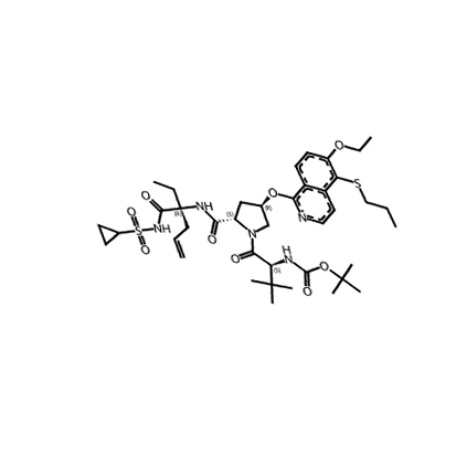 C=CC[C@@](CC)(NC(=O)[C@@H]1C[C@@H](Oc2nccc3c(SCCC)c(OCC)ccc23)CN1C(=O)[C@@H](NC(=O)OC(C)(C)C)C(C)(C)C)C(=O)NS(=O)(=O)C1CC1